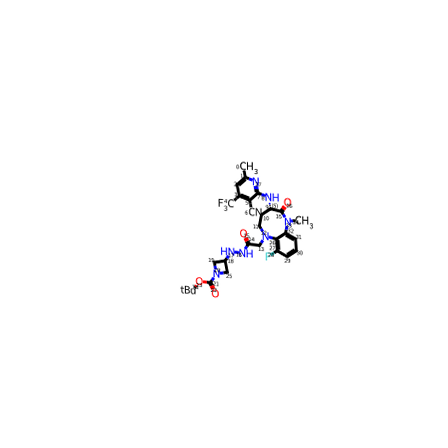 Cc1cc(C(F)(F)F)c(C#N)c(N[C@H]2CCN(CC(=O)NNC3CN(C(=O)OC(C)(C)C)C3)c3c(F)cccc3N(C)C2=O)n1